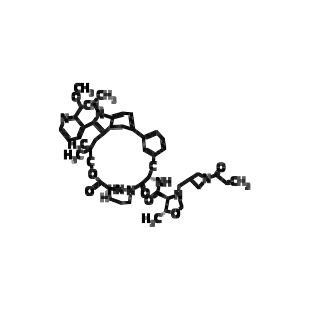 C=CC(=O)N1CC(CN2CO[C@H](C)[C@H]2C(=O)N[C@H]2Cc3cccc(c3)-c3ccc4c(c3)c(c(-c3cccnc3[C@H](C)OC)n4CC)CC(C)(C)COC(=O)[C@@H]3CCCN(N3)C2=O)C1